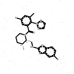 Cc1cc(F)cc(C(=O)N2CCC[C@@H](C)[C@H]2CNc2nc3cc(F)ccc3o2)c1-n1nccn1